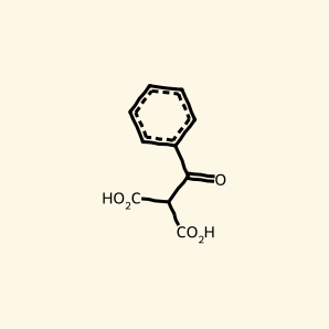 O=C(O)C(C(=O)O)C(=O)c1ccccc1